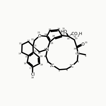 CN1CCCCCCCN2C[C@@]3(CCCc4cc(Cl)ccc43)COc3ccc(cc32)[C@](O)(C(=O)O)CC1=O